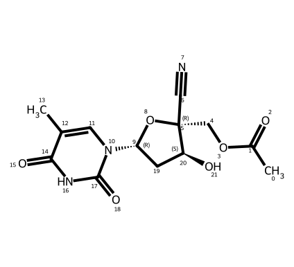 CC(=O)OC[C@@]1(C#N)O[C@@H](n2cc(C)c(=O)[nH]c2=O)C[C@@H]1O